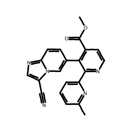 COC(=O)c1ccnc(-c2cccc(C)n2)c1-c1ccc2ncc(C#N)n2c1